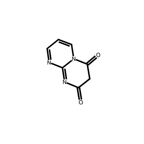 O=C1CC(=O)N2C=CC=NC2=N1